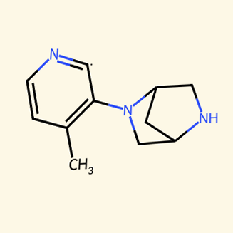 Cc1ccn[c]c1N1CC2CC1CN2